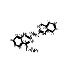 CCCOc1nc(N=Nc2ncc3ccccc3n2)nc2ccccc12